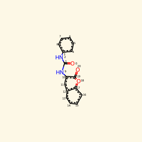 O=C(Nc1ccccc1)Nc1cc2ccccc2oc1=O